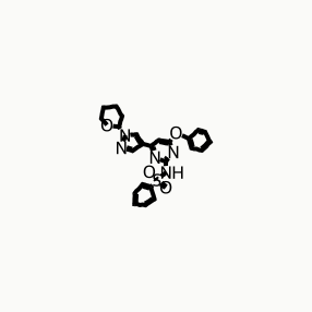 O=S(=O)(Nc1nc(Oc2ccccc2)cc(-c2cnn(C3CCCCO3)c2)n1)c1ccccc1